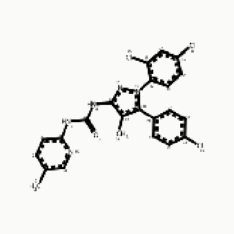 Cc1ccc(NC(=O)Nc2nn(-c3ccc(Cl)cc3Cl)c(-c3ccc(Cl)cc3)c2C)nc1